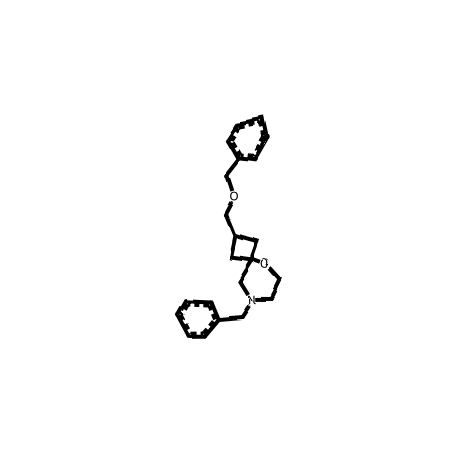 c1ccc(COCC2CC3(C2)CN(Cc2ccccc2)CCO3)cc1